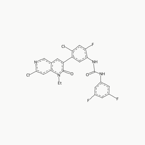 CCn1c(=O)c(-c2cc(NC(=O)Nc3cc(F)cc(F)c3)c(F)cc2Cl)cc2cnc(Cl)cc21